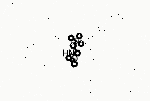 c1ccc([Si](c2ccccc2)(c2ccccc2)c2cccc(-c3ccccc3Nc3cccc4c3oc3ccccc34)c2)cc1